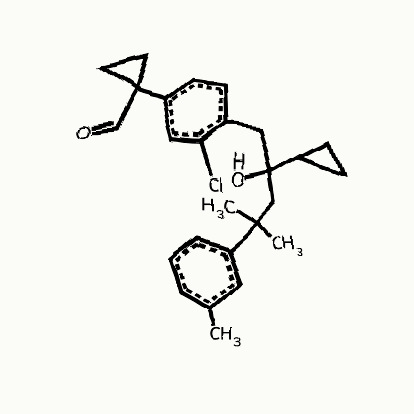 Cc1cccc(C(C)(C)CC(O)(Cc2ccc(C3(C=O)CC3)cc2Cl)C2CC2)c1